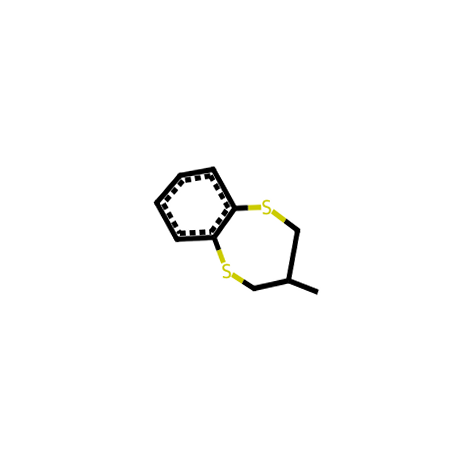 CC1CSc2ccccc2SC1